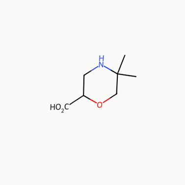 CC1(C)COC(C(=O)O)CN1